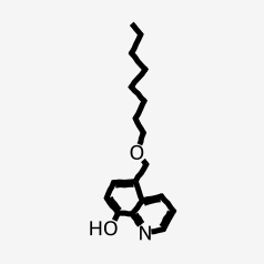 CCCCCCCCOCc1ccc(O)c2ncccc12